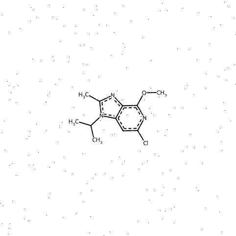 COc1nc(Cl)cc2c1nc(C)n2C(C)C